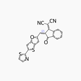 N#CC(C#N)=C1/C(=C/c2cc3sc(-c4nccs4)cc3o2)C(=O)c2ccccc21